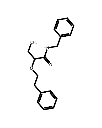 CCC(OCCc1ccccc1)C(=O)NCc1ccccc1